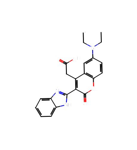 CCN(CC)c1ccc2oc(=O)c(-c3nc4ccccc4[nH]3)c(CC(=O)O)c2c1